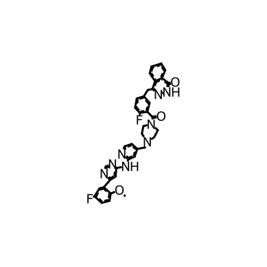 COc1ccc(F)cc1-c1cc(Nc2cc(CN3CCN(C(=O)c4cc(Cc5n[nH]c(=O)c6ccccc56)ccc4F)CC3)ccn2)ncn1